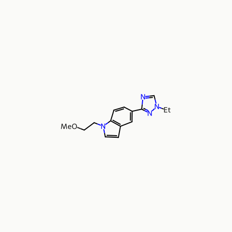 CCn1cnc(-c2ccc3c(ccn3CCOC)c2)n1